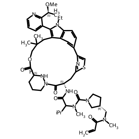 C=CC(=O)N(C)C[C@H]1CCN(C(=O)N(C)C(C(=O)N[C@H]2Cc3nc(cs3)-c3ccc4c(c3)c(c(-c3cccnc3[C@H](C)OC)n4CC)CC(C)(C)COC(=O)[C@@H]3CCCN(N3)C2=O)C(C)C)C1